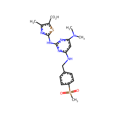 Cc1nc(Nc2nc(NCc3ccc(S(C)(=O)=O)cc3)cc(N(C)C)n2)sc1C(=O)O